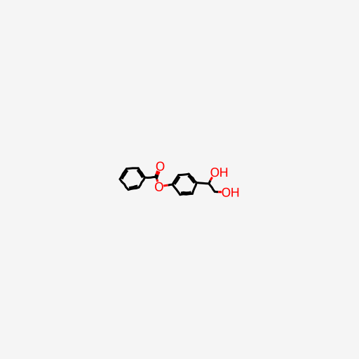 O=C(Oc1ccc(C(O)CO)cc1)c1ccccc1